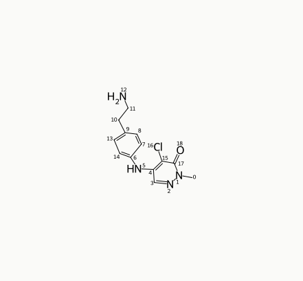 Cn1ncc(Nc2ccc(CCN)cc2)c(Cl)c1=O